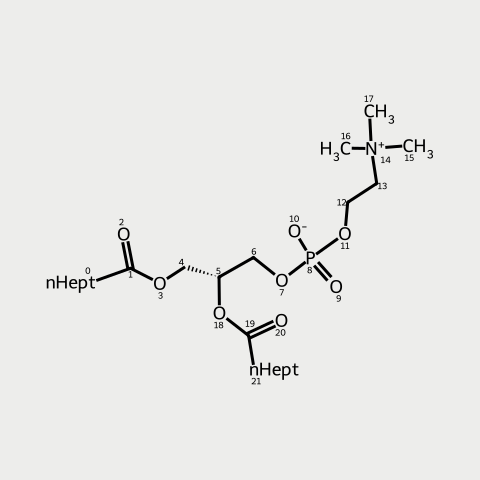 CCCCCCCC(=O)OC[C@H](COP(=O)([O-])OCC[N+](C)(C)C)OC(=O)CCCCCCC